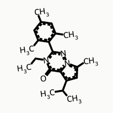 CCn1c(-c2c(C)cc(C)cc2C)nn2c(C)cc(C(C)C)c2c1=O